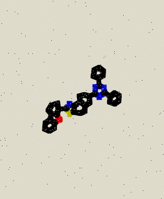 c1ccc(-c2nc(-c3ccccc3)nc(-c3ccc4c(ccc5sc(-c6cccc7c6oc6ccccc67)nc54)c3)n2)cc1